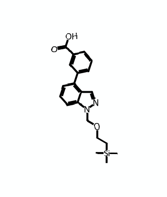 C[Si](C)(C)CCOCn1ncc2c(-c3cccc(C(=O)O)c3)cccc21